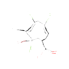 CC1=C(F)C(F)=CC(C(=O)O)C1(F)Br